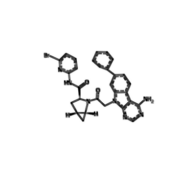 Nc1ncnc2c1c1ccc(-c3ccccc3)cc1n2CC(=O)N1[C@@H]2C[C@@H]2C[C@H]1C(=O)Nc1cccc(Br)n1